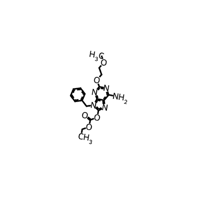 CCOC(=O)Oc1nc2c(N)nc(OCCOC)nc2n1Cc1ccccc1